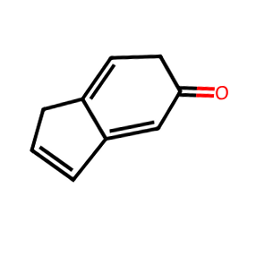 O=C1C=C2C=CCC2=CC1